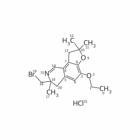 CCOc1cc2c(c3c1OC(C)(C)C3)C=NC(C)(CBr)C2.Cl